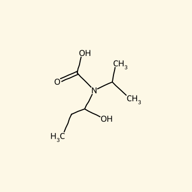 CCC(O)N(C(=O)O)C(C)C